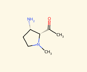 CC(=O)[C@H]1[C@@H](N)CCN1C